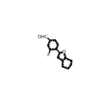 O=Cc1ccc(-c2cc3ccccc3o2)c(F)c1